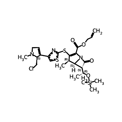 C=CCOC(=O)C1=C(Sc2nc(C3=CCN(C)[C@@H]3CCl)cs2)[C@H](C)[C@@H]2[C@@H]([C@@H](C)O[Si](C)(C)C)C(=O)N12